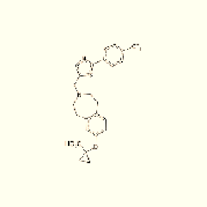 O=C(O)C1(Oc2ccc3c(c2)CCN(Cc2cnc(-c4ccc(C(F)(F)F)cc4)s2)CC3)CC1